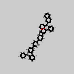 c1ccc(N(c2ccc3ccccc3c2)c2ccccc2-c2ccc3oc4cc(-c5ccc(-c6ccc7c(c6)c6ccccc6n7-c6ccccc6)cn5)ccc4c3c2)cc1